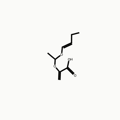 C=C(OC(C)OC=CCC)C(=O)O